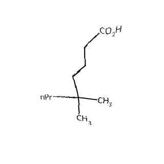 CCCC(C)(C)CCCC(=O)O